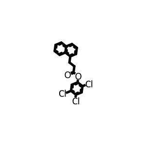 O=C(CCc1cccc2ccccc12)Oc1cc(Cl)c(Cl)cc1Cl